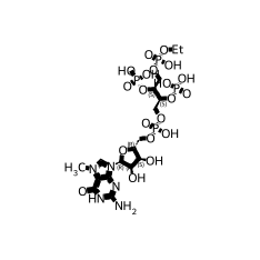 CCOP(=O)(O)OC[C@H](OP(=O)(O)O)[C@H](COP(=O)(O)OC[C@H]1O[C@@H](n2c[n+](C)c3c(=O)[nH]c(N)nc32)[C@H](O)[C@@H]1O)OP(=O)(O)O